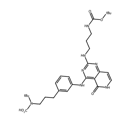 CC(C)(C)OC(=O)NCCCNc1nc(Nc2cccc(CCCN(C(=O)O)C(C)(C)C)c2)c2c(=O)[nH]ccc2n1